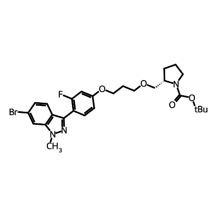 Cn1nc(-c2ccc(OCCCOC[C@@H]3CCCN3C(=O)OC(C)(C)C)cc2F)c2ccc(Br)cc21